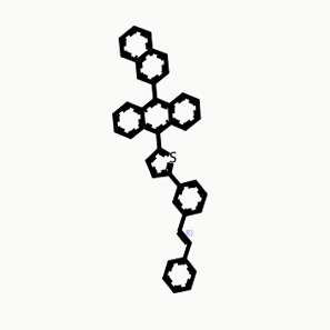 C(=C\c1cccc(-c2ccc(-c3c4ccccc4c(-c4ccc5ccccc5c4)c4ccccc34)s2)c1)/c1ccccc1